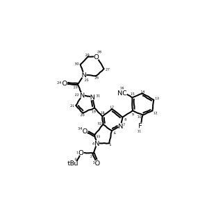 CC(C)(C)OC(=O)N1Cc2nc(-c3c(F)cccc3C#N)cc(-c3ccn(C(=O)N4CCOCC4)n3)c2C1=O